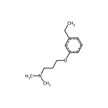 CCc1cccc(OCCCN(C)C)c1